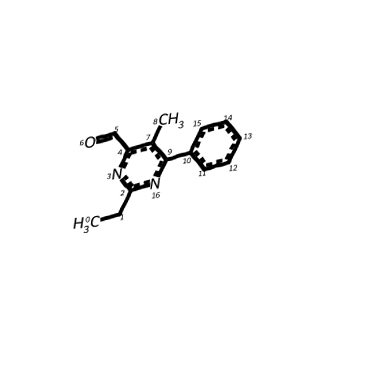 CCc1nc(C=O)c(C)c(-c2ccccc2)n1